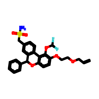 C=CCOCCOc1ccc2c(c1OC(F)F)-c1ccc(CS(N)(=O)=O)cc1C(c1ccccc1)O2